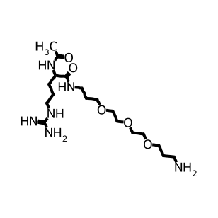 CC(=O)NC(CCCNC(=N)N)C(=O)NCCCOCCOCCOCCCN